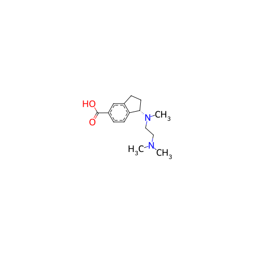 CN(C)CCN(C)[C@H]1CCc2cc(C(=O)O)ccc21